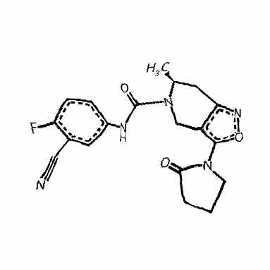 C[C@H]1Cc2noc(N3CCCC3=O)c2CN1C(=O)Nc1ccc(F)c(C#N)c1